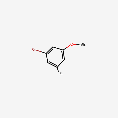 [CH2]C(C)c1cc(Br)cc(OCCCC)c1